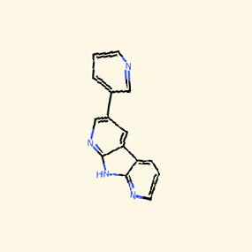 c1cncc(-c2cnc3[nH]c4ncccc4c3c2)c1